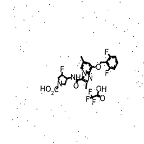 Cc1cc(OCc2c(F)cccc2F)c2nc(C)c(C(=O)NC3CN(C(=O)O)CC3F)n2c1.O=C(O)C(F)(F)F